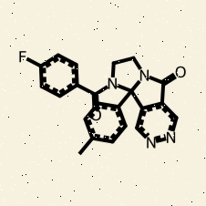 Cc1ccc(C23c4cnncc4C(=O)N2CCN3C(=O)c2ccc(F)cc2)cc1